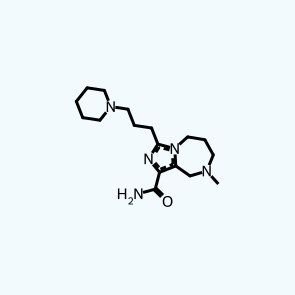 CN1CCCn2c(CCCN3CCCCC3)nc(C(N)=O)c2C1